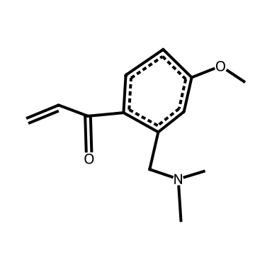 C=CC(=O)c1ccc(OC)cc1CN(C)C